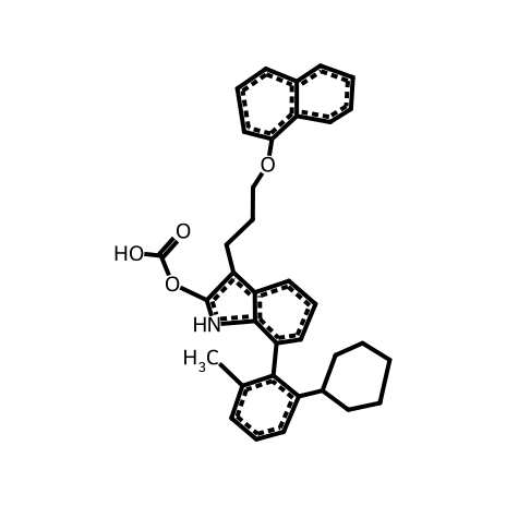 Cc1cccc(C2CCCCC2)c1-c1cccc2c(CCCOc3cccc4ccccc34)c(OC(=O)O)[nH]c12